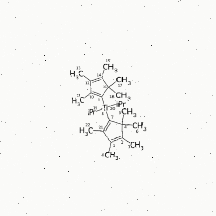 CC1=C(C)C(C)(C)[C]([Ti]([C]2=C(C)C(C)=C(C)C2(C)C)([CH](C)C)[CH](C)C)=C1C